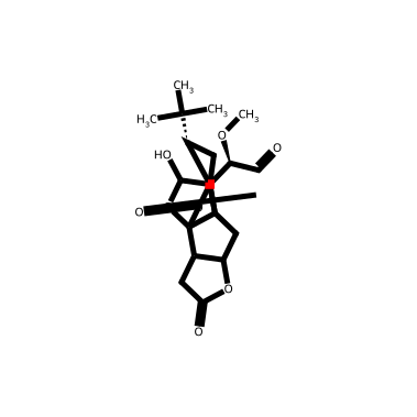 CO[C@@H](C=O)C12C(O)OC34C(=O)OC(C[C@H]1C(C)(C)C)C32CC1OC(=O)CC14